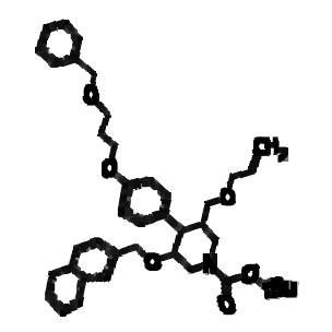 C=CCOCC1CN(C(=O)OC(C)(C)C)CC(OCc2ccc3ccccc3c2)C1c1ccc(OCCCOCc2ccccc2)cc1